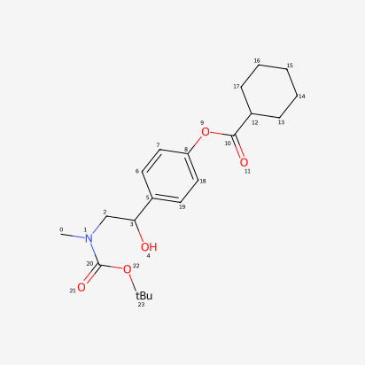 CN(CC(O)c1ccc(OC(=O)C2CCCCC2)cc1)C(=O)OC(C)(C)C